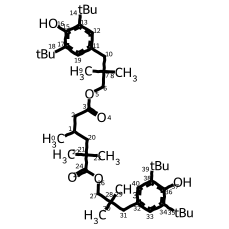 CC(CC(=O)OCC(C)(C)Cc1cc(C(C)(C)C)c(O)c(C(C)(C)C)c1)CC(C)(C)C(=O)OCC(C)(C)Cc1cc(C(C)(C)C)c(O)c(C(C)(C)C)c1